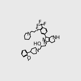 COc1ccccc1C1CCN(CC(O)Cn2nc(-c3ccc(C(F)(F)F)c(SCCN4CCCCC4)c3)c3c2CCNC3)CC1